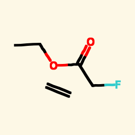 C=C.CCOC(=O)CF